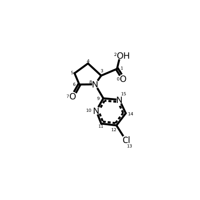 O=C(O)C1CCC(=O)N1c1ncc(Cl)cn1